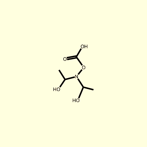 CC(O)N(OC(=O)O)C(C)O